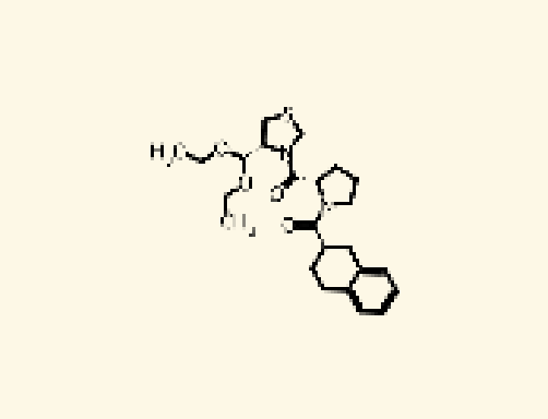 CCOC(OCC)[C@@H]1CSCN1C(=O)[C@@H]1CCCN1C(=O)[C@@H]1CCc2ccccc2C1